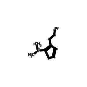 CC(C)CCC1=[C]([Zr]([CH3])[CH3])CC=C1